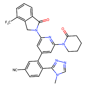 Cn1cnnc1-c1ccc(C#N)cc1-c1cc(N2CCCCC2=O)nc(N2Cc3c(cccc3C(F)(F)F)C2=O)c1